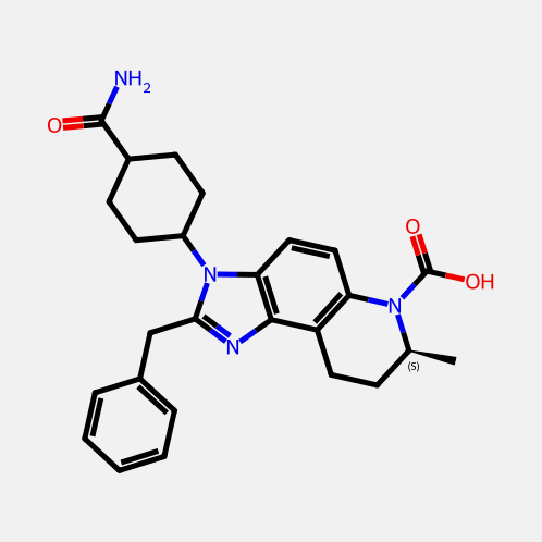 C[C@H]1CCc2c(ccc3c2nc(Cc2ccccc2)n3C2CCC(C(N)=O)CC2)N1C(=O)O